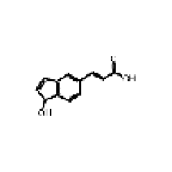 O=C(O)C=Cc1ccc2c(c1)C=CC2O